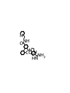 N=C(N)c1ccc2c(c1)CCN2Cc1ccc(C(=O)NCCc2ccccn2)cc1-c1ccccc1C(=O)O